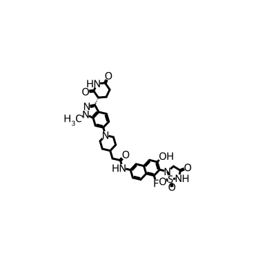 Cn1nc([C@H]2CCC(=O)NC2=O)c2ccc(N3CCC(CC(=O)Nc4ccc5c(F)c(N6CC(=O)NS6(=O)=O)c(O)cc5c4)CC3)cc21